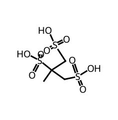 CC(CS(=O)(=O)O)(CS(=O)(=O)O)S(=O)(=O)O